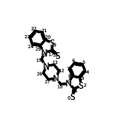 S=c1sc2ccccc2n1CN1CCN(Cn2c(=S)sc3ccccc32)CC1